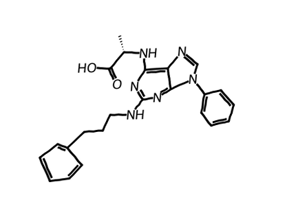 C[C@H](Nc1nc(NCCCc2ccccc2)nc2c1ncn2-c1ccccc1)C(=O)O